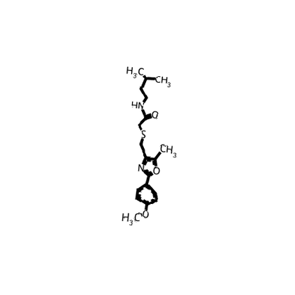 COc1ccc(-c2nc(CSCC(=O)NCCC(C)C)c(C)o2)cc1